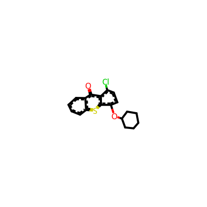 O=c1c2ccccc2sc2c(OC3CCCCC3)ccc(Cl)c12